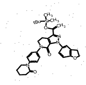 C=C(O[Si](C)(C)C(C)(C)C)c1nn(-c2ccc3c(c2)CCO3)c2c1CCN(c1ccc(N3CCCCC3=O)cc1)C2=O